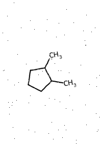 CC1CCCC1C